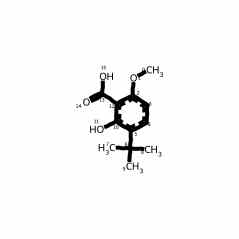 COc1ccc(C(C)(C)C)c(O)c1C(=O)O